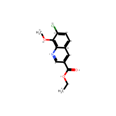 CCOC(=O)c1cnc2c(OC)c(Cl)ccc2c1